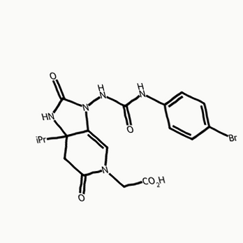 CC(C)C12CC(=O)N(CC(=O)O)C=C1N(NC(=O)Nc1ccc(Br)cc1)C(=O)N2